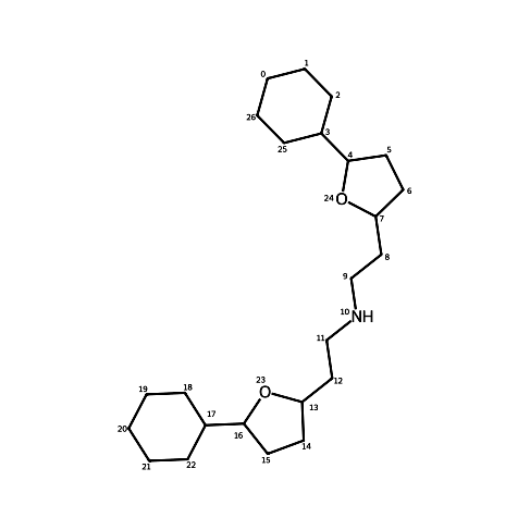 C1CCC(C2CCC(CCNCCC3CCC(C4CCCCC4)O3)O2)CC1